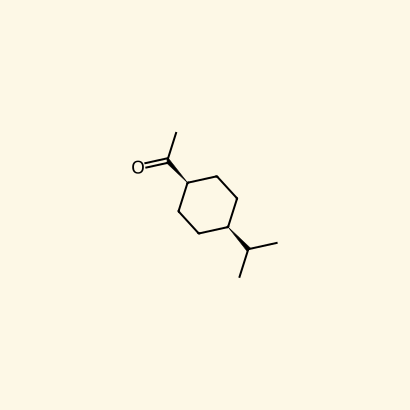 CC(=O)[C@H]1CC[C@@H](C(C)C)CC1